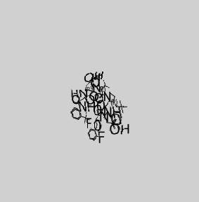 CC(C)[C@@H](NC(=O)[C@@H](CC(=O)O)NC(=O)C(=O)Nc1ccccc1C(C)(C)C)C(=O)N1CC[C@@H](CC(C)(C)C)C1C(=O)NN(CC(=O)O)C(=O)COc1c(F)cccc1F